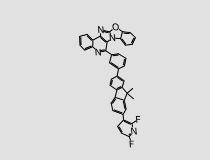 CC1(C)c2cc(-c3cccc(-c4nc5ccccc5c5nc6oc7ccccc7n6c45)c3)ccc2-c2ccc(-c3ccc(F)nc3F)cc21